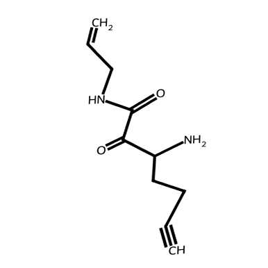 C#CCCC(N)C(=O)C(=O)NCC=C